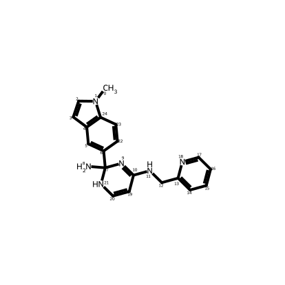 Cn1ccc2cc(C3(N)N=C(NCc4ccccn4)C=CN3)ccc21